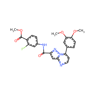 COC(=O)c1ccc(NC(=O)c2cc3nccc(-c4ccc(OC)c(OC)c4)n3n2)cc1F